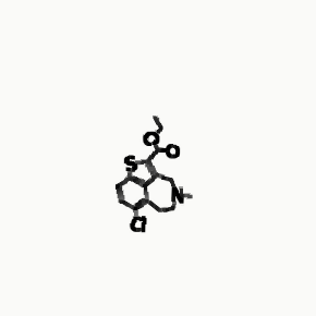 CCOC(=O)c1sc2ccc(Cl)c3c2c1CN(C)CC3